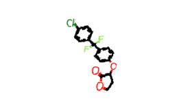 O=C1OCCC1Oc1ccc(C(F)(F)c2ccc(Cl)cc2)cc1